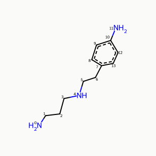 NCCCNCCc1ccc(N)cc1